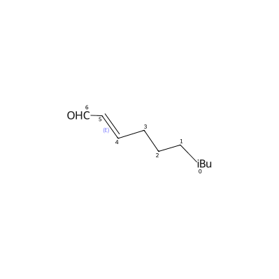 CCC(C)CCC/C=C/C=O